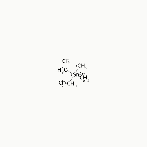 [CH3][Sn+2]([CH3])([CH3])[CH3].[Cl-].[Cl-]